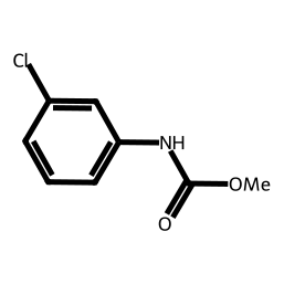 COC(=O)Nc1cccc(Cl)c1